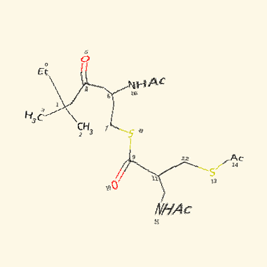 CCC(C)(C)C(=O)C(CSC(=O)C(CSC(C)=O)NC(C)=O)NC(C)=O